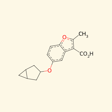 Cc1oc2ccc(OC3CC4CC4C3)cc2c1C(=O)O